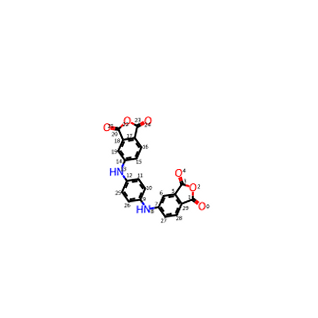 O=C1OC(=O)c2cc(Nc3ccc(Nc4ccc5c(c4)C(=O)OC5=O)cc3)ccc21